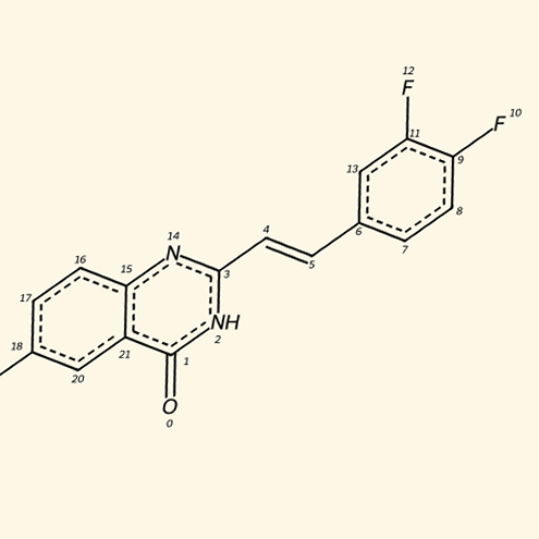 O=c1[nH]c(C=Cc2ccc(F)c(F)c2)nc2ccc(F)cc12